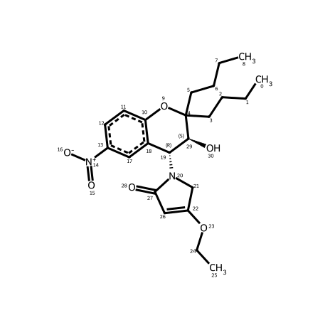 CCCCC1(CCCC)Oc2ccc([N+](=O)[O-])cc2[C@@H](N2CC(OCC)=CC2=O)[C@@H]1O